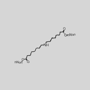 CCCCCCCCCOC(=O)CCCCCCCNCCCCCCCC(=O)OCCCCCCCCC